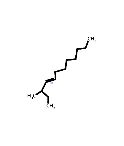 CCCCCCC/C=C/C(C)CC